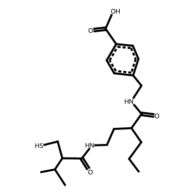 CCCC(CCNC(=O)C(CS)C(C)C)C(=O)NCc1ccc(C(=O)O)cc1